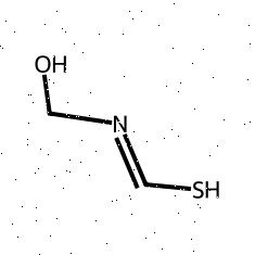 OC/N=C/S